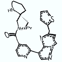 CC(C)C[C@@]1(CNC(=O)c2ccnc(-c3cnn4ccc(-c5cccs5)nc34)c2)CCCN1